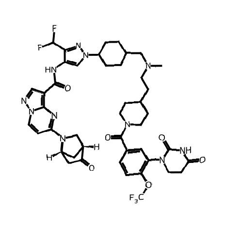 CN(CCC1CCN(C(=O)c2ccc(OC(F)(F)F)c(N3CCC(=O)NC3=O)c2)CC1)CC1CCC(n2cc(NC(=O)c3cnn4ccc(N5C[C@H]6C[C@@H]5CC6=O)nc34)c(C(F)F)n2)CC1